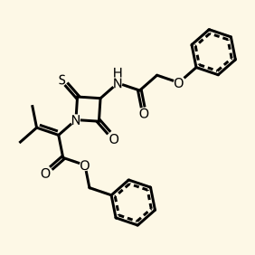 CC(C)=C(C(=O)OCc1ccccc1)N1C(=O)C(NC(=O)COc2ccccc2)C1=S